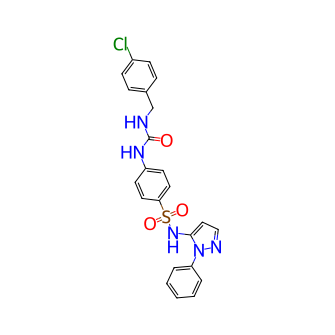 O=C(NCc1ccc(Cl)cc1)Nc1ccc(S(=O)(=O)Nc2ccnn2-c2ccccc2)cc1